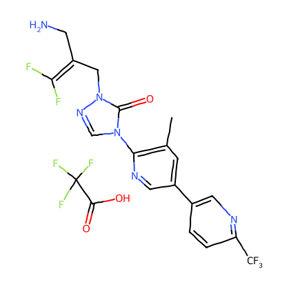 Cc1cc(-c2ccc(C(F)(F)F)nc2)cnc1-n1cnn(CC(CN)=C(F)F)c1=O.O=C(O)C(F)(F)F